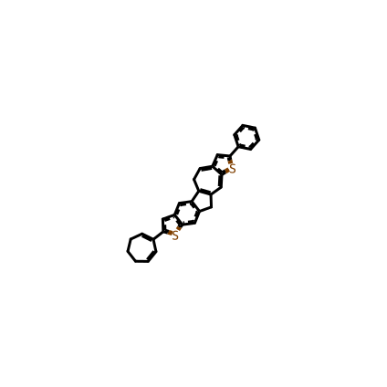 C1=CC(c2cc3cc4c(cc3s2)CC2=C4CC=c3cc(-c4ccccc4)sc3=C2)=CCCC1